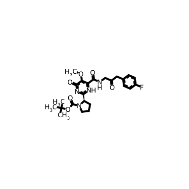 COc1c(C(=O)NCC(=O)Cc2ccc(F)cc2)[nH]c([C@H]2CCCN2C(=O)OC(C)(C)C)nc1=O